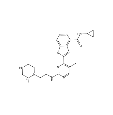 Cc1cnc(NCCN2CCNC[C@H]2C)nc1-c1cc2c(C(=O)NC3CC3)cccc2s1